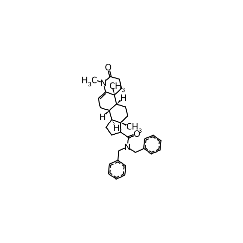 CN1C(=O)CC[C@@]2(C)C1=CC[C@@H]1[C@H]2CC[C@]2(C)C(C(=O)N(Cc3ccccc3)Cc3ccccc3)CC[C@@H]12